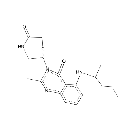 CCCC(C)Nc1cccc2nc(C)n(C3CCC(=O)NC3)c(=O)c12